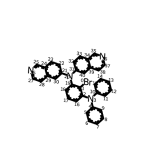 Brc1c(N(c2ccccc2)c2ccccc2)cccc1N(c1ccc2cnccc2c1)c1ccc2cnccc2c1